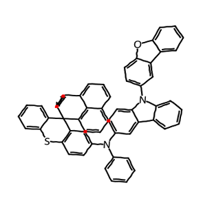 c1ccc(N(c2ccc3c(c2)C2(c4ccccc4S3)c3ccccc3-c3cccc4cccc2c34)c2ccc3c(c2)c2ccccc2n3-c2ccc3oc4ccccc4c3c2)cc1